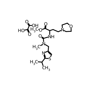 COC(=O)C(CCN1CCOCC1)NC(=O)N(C)Cc1csc(C(C)C)n1.O=C(O)C(=O)O